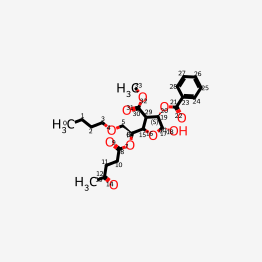 CCCCOC[C@H](OC(=O)CCC(C)=O)C1O[C@@H](O)[C@@H](OC(=O)c2ccccc2)C1C(=O)OC